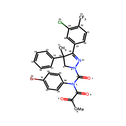 COC(=O)C(=O)N(C(=O)N1CC(C)(c2ccccc2)C(c2ccc(C(F)(F)F)c(Cl)c2)=N1)c1ccc(Br)cc1